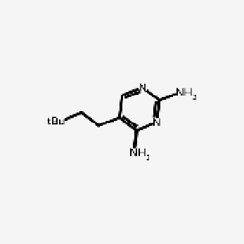 CC(C)(C)CCc1cnc(N)nc1N